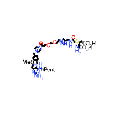 CCCCCNc1nc(N)nc2ccn(Cc3ccc(CN4CCN(C(=O)CCOCCOCCn5cc(CNC(=O)CSC(CC(=O)O)[C@H](N)C(=O)O)nn5)CC4)cc3OC)c12